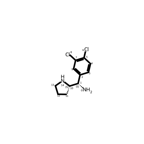 N[C@@H](c1ccc(Cl)c(Cl)c1)[C@@H]1CCCN1